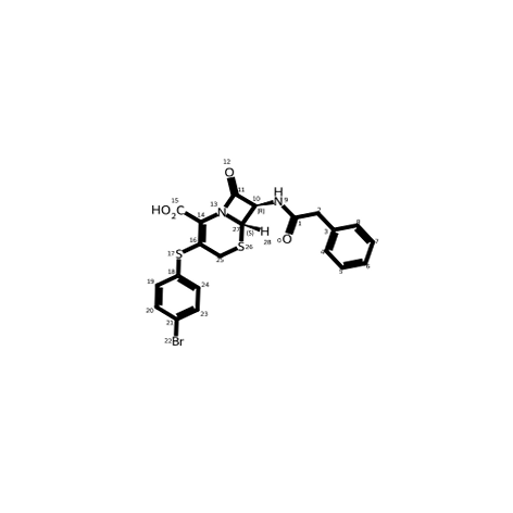 O=C(Cc1ccccc1)N[C@@H]1C(=O)N2C(C(=O)O)=C(Sc3ccc(Br)cc3)CS[C@@H]12